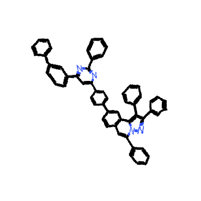 c1ccc(-c2cccc(-c3cc(-c4ccc(-c5ccc6cc(-c7ccccc7)n7nc(-c8ccccc8)c(-c8ccccc8)c7c6c5)cc4)nc(-c4ccccc4)n3)c2)cc1